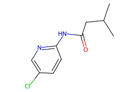 CC(C)CC(=O)Nc1ccc(Cl)cn1